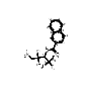 NCC(F)(F)C(OC(=O)c1ccc2ccccc2c1)C(F)(F)F